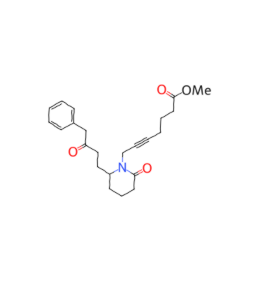 COC(=O)CCCC#CCN1C(=O)CCCC1CCC(=O)Cc1ccccc1